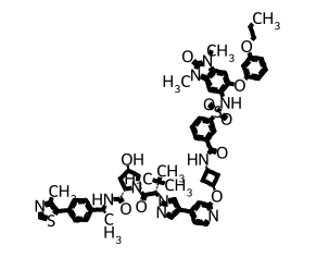 CCCOc1cccc(Oc2cc3c(cc2NS(=O)(=O)c2cccc(C(=O)N[C@H]4C[C@H](Oc5cc(-c6cnn([C@H](C(=O)N7C[C@H](O)C[C@H]7C(=O)N[C@@H](C)c7ccc(-c8scnc8C)cc7)C(C)(C)C)c6)ccn5)C4)c2)n(C)c(=O)n3C)c1